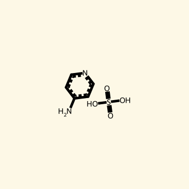 Nc1ccncc1.O=S(=O)(O)O